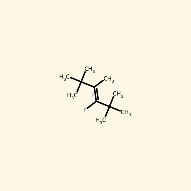 C/C(=C(/F)C(C)(C)C)C(C)(C)C